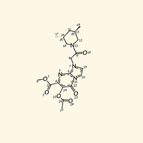 COC(=O)c1nc2n(CC(=O)N3C[C@H](C)C[C@@H](C)C3)ccn2c(=O)c1OC(C)=O